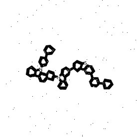 c1ccc(-c2ccc(-n3c4ccccc4c4ccc5cc(-n6c7ccccc7c7cc(-c8ccc9sc%10ccc(-c%11cccc(-c%12ccccc%12)c%11)cc%10c9c8)ccc76)ccc5c43)cc2)cc1